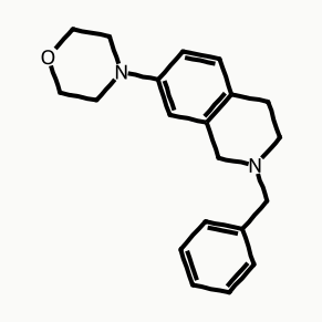 c1ccc(CN2CCc3ccc(N4CCOCC4)cc3C2)cc1